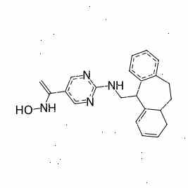 C=C(NO)c1cnc(NCC2C3=CC=CCC3CCc3ccccc32)nc1